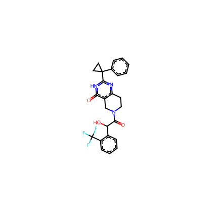 O=C(C(O)c1ccccc1C(F)(F)F)N1CCc2nc(C3(c4ccccc4)CC3)[nH]c(=O)c2C1